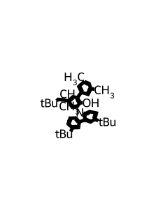 Cc1cc(C)cc(-c2cc(C(C)(C)CC(C)(C)C)cc(-n3c4ccc(C(C)(C)C)cc4c4cc(C(C)(C)C)ccc43)c2O)c1